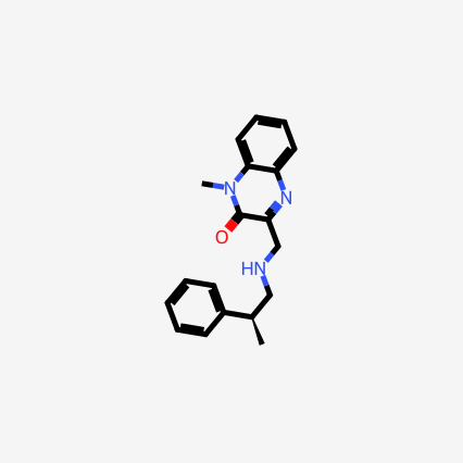 C[C@H](CNCc1nc2ccccc2n(C)c1=O)c1ccccc1